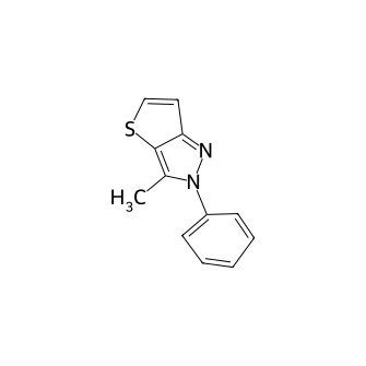 Cc1c2sccc2nn1-c1ccccc1